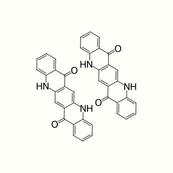 O=c1c2ccccc2[nH]c2cc3c(=O)c4ccccc4[nH]c3cc12.O=c1c2ccccc2[nH]c2cc3c(=O)c4ccccc4[nH]c3cc12